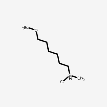 C[SiH](Cl)CCCCCCOC(C)(C)C